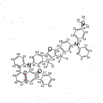 CC1(C)c2cc(N(c3ccccc3)c3ccc([Si](C)(C)C)cc3)ccc2-c2oc3c(c21)C(C)(C)c1cc(N(c2ccccc2-c2ccccc2)c2cccc4c2oc2ccccc24)ccc1-3